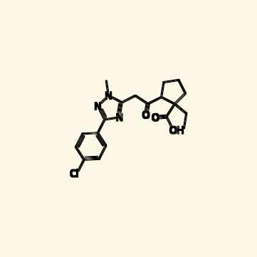 CCC1(C(=O)O)CCCC1C(=O)Cc1nc(-c2ccc(Cl)cc2)nn1C